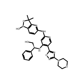 CC1(C)OB(O)c2ccc(Nc3cc(N[C@H](CO)c4ccccc4)c(-c4nc(N5CCOCC5)no4)cn3)nc21